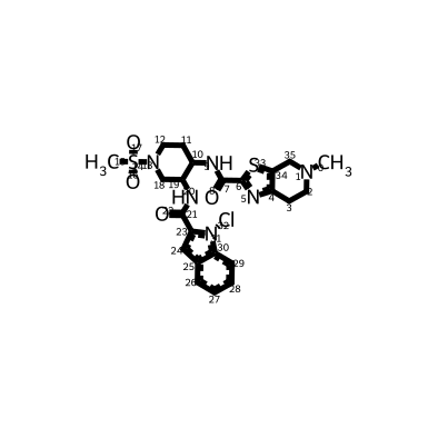 CN1CCc2nc(C(=O)NC3CCN(S(C)(=O)=O)CC3NC(=O)c3cc4ccccc4n3Cl)sc2C1